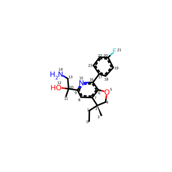 CC[C@@]1(C)COc2c1cc(C(C)(O)CN)nc2-c1ccc(F)cc1